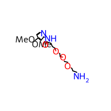 COC(OC)c1ccnc(NC(=O)CCCOCCOCCOCCCN)c1